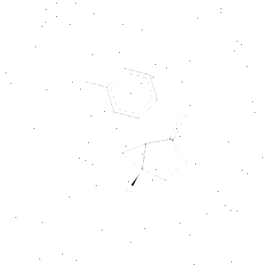 O=C1OC[C@@H]2C[C@@]12c1cccc(F)c1